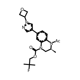 CC(=O)N1c2ccc(-c3cnn(C4COC4)c3)cc2N(C(=O)OCC(C)(C)F)C[C@@H]1C